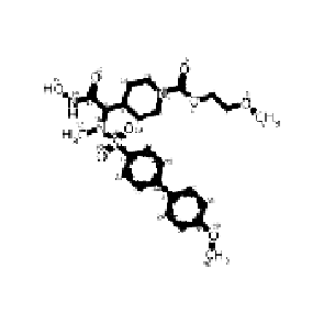 COCCOC(=O)N1CCC(C(C(=O)NO)N(C)S(=O)(=O)c2ccc(-c3ccc(OC)cc3)cc2)CC1